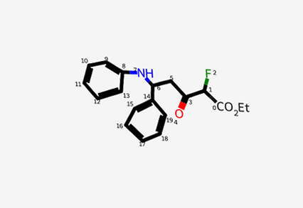 CCOC(=O)C(F)C(=O)CC(Nc1ccccc1)c1ccccc1